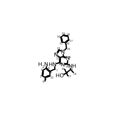 Cc1ccc(N)c(CNc2nc(NC(C)C(C)(C)O)nc3c2ncn3Cc2ccccc2)c1